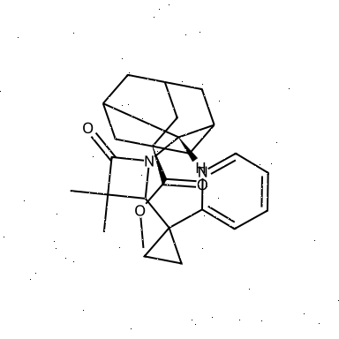 COC(=O)[C@]12CC3CC(C1)[C@@H](N1C(=O)C(C)(C)C1C1(c4ccccn4)CC1)C(C3)C2